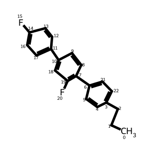 CCCc1ccc(-c2ccc(-c3ccc(F)cc3)cc2F)cc1